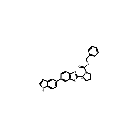 O=C(OCc1ccccc1)N1CCC[C@H]1c1nc2ccc(-c3ccc4[nH]ccc4c3)cc2s1